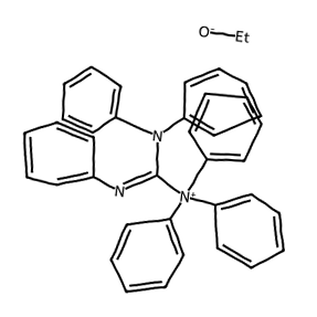 CC[O-].c1ccc(N=C(N(c2ccccc2)c2ccccc2)[N+](c2ccccc2)(c2ccccc2)c2ccccc2)cc1